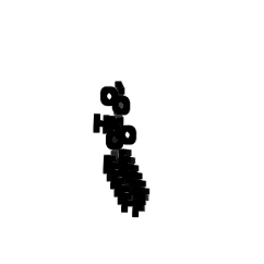 C=CC(=O)OCCNC(=O)OCCC(F)(F)C(F)(F)C(F)(F)C(F)(F)C(F)(F)C(F)(F)F